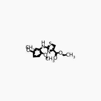 CCOC(=O)c1csc(Nc2cc(OC)ccc2OC)n1